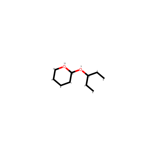 CCC(CC)OC1CCCCO1